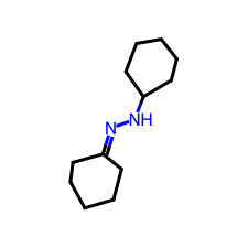 C1CCC(=NNC2CCCCC2)CC1